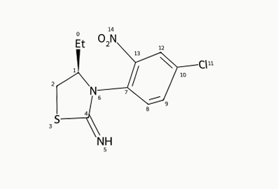 CC[C@@H]1CSC(=N)N1c1ccc(Cl)cc1[N+](=O)[O-]